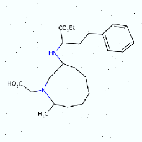 CCOC(=O)C(CCc1ccccc1)NC1CCCCCC(C)N(CC(=O)O)C1